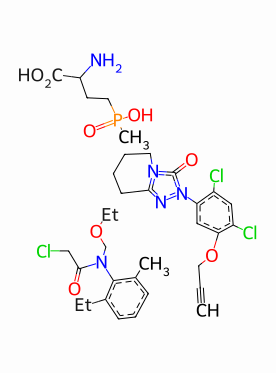 C#CCOc1cc(-n2nc3n(c2=O)CCCC3)c(Cl)cc1Cl.CCOCN(C(=O)CCl)c1c(C)cccc1CC.CP(=O)(O)CCC(N)C(=O)O